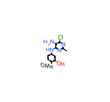 COc1ccc(Nc2nc(C)nc(Cl)c2N)cc1O